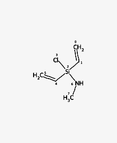 C=C[Si](Cl)(C=C)NC